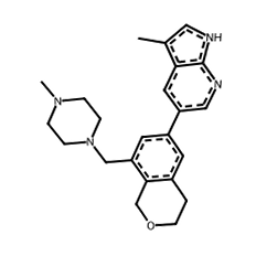 Cc1c[nH]c2ncc(-c3cc4c(c(CN5CCN(C)CC5)c3)COCC4)cc12